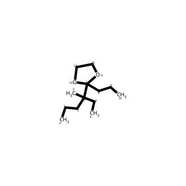 CCCC(C)(CC)C1(CCC)OCCO1